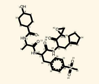 CC(NC(=O)C1CCC(O)CC1)C(=O)NC(Cc1ccc(S(C)(=O)=O)cc1)C(=O)NC(CC1=CCCC1)C(=O)C1(C)CO1